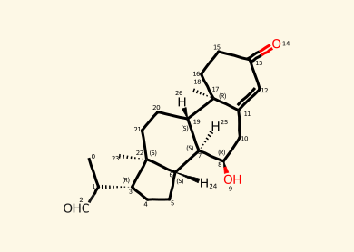 CC(C=O)[C@H]1CC[C@H]2[C@@H]3[C@H](O)CC4=CC(=O)CC[C@]4(C)[C@H]3CC[C@]12C